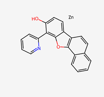 Oc1ccc2c(oc3c4ccccc4ccc23)c1-c1ccccn1.[Zn]